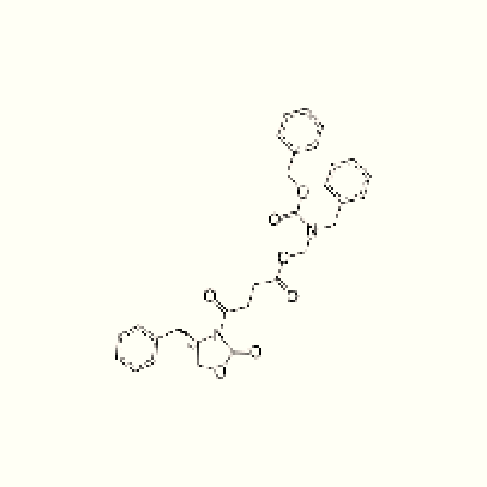 O=C(CCC(=O)N1C(=O)OC[C@H]1Cc1ccccc1)OCN(Cc1ccccc1)C(=O)OCc1ccccc1